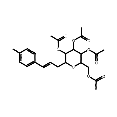 CC(=O)OCC1OC(CC=Cc2ccc(I)cc2)C(OC(C)=O)C(OC(C)=O)C1OC(C)=O